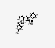 COc1ccc(S(=O)(=O)N2C=C(CN(C(=O)NO)C3CCCCC3)C=CC2)cc1